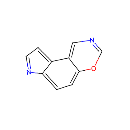 c1cc2c(ccc3ocncc32)n1